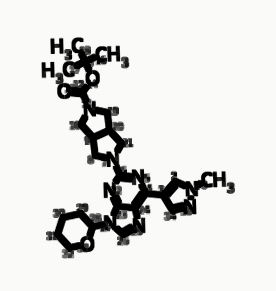 Cn1cc(-c2nc(N3CC4CN(C(=O)OC(C)(C)C)CC4C3)nc3c2ncn3C2CCCCO2)cn1